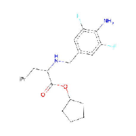 CC(C)CC(NCc1cc(F)c(N)c(F)c1)C(=O)OC1CCCC1